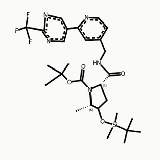 C[C@H]1C(O[Si](C)(C)C(C)(C)C)C[C@@H](C(=O)NCc2ccnc(-c3cnc(C(F)(F)F)nc3)c2)N1C(=O)OC(C)(C)C